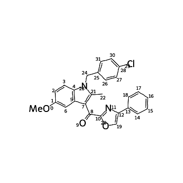 COc1ccc2c(c1)c(C(=O)c1nc(-c3ccccc3)co1)c(C)n2Cc1ccc(Cl)cc1